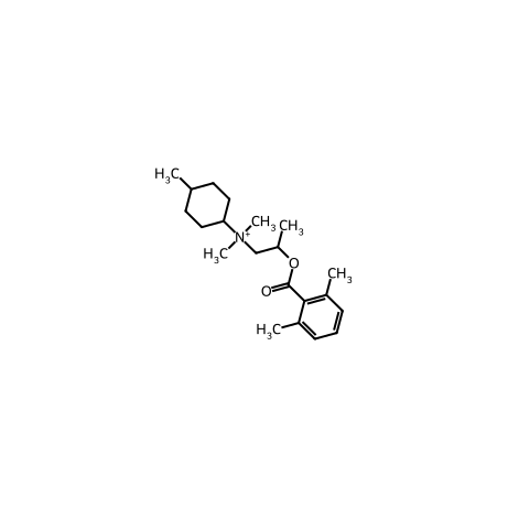 Cc1cccc(C)c1C(=O)OC(C)C[N+](C)(C)C1CCC(C)CC1